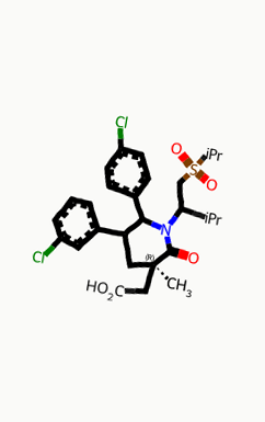 CC(C)C(CS(=O)(=O)C(C)C)N1C(=O)[C@@](C)(CC(=O)O)CC(c2cccc(Cl)c2)C1c1ccc(Cl)cc1